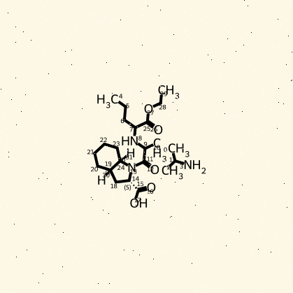 CC(C)N.CCCC(NC(C)C(=O)N1[C@H](C(=O)O)C[C@@H]2CCCC[C@@H]21)C(=O)OCC